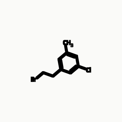 Cc1cc(Cl)cc(CCBr)c1